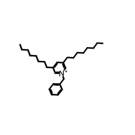 CCCCCCCCc1cc(CCCCCCCC)c[n+](Cc2ccccc2)c1